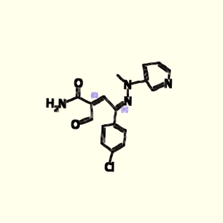 CN(/N=C(\C=C(/C=O)C(N)=O)c1ccc(Cl)cc1)c1cccnc1